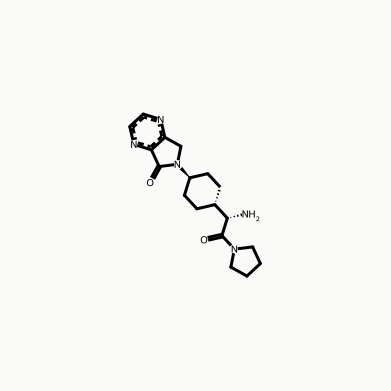 N[C@H](C(=O)N1CCCC1)[C@H]1CC[C@H](N2Cc3nccnc3C2=O)CC1